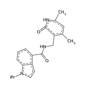 Cc1cc(C)c(CNC(=O)c2cccc3c2ccn3C(C)C)c(=O)[nH]1